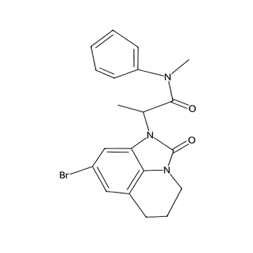 CC(C(=O)N(C)c1ccccc1)n1c(=O)n2c3c(cc(Br)cc31)CCC2